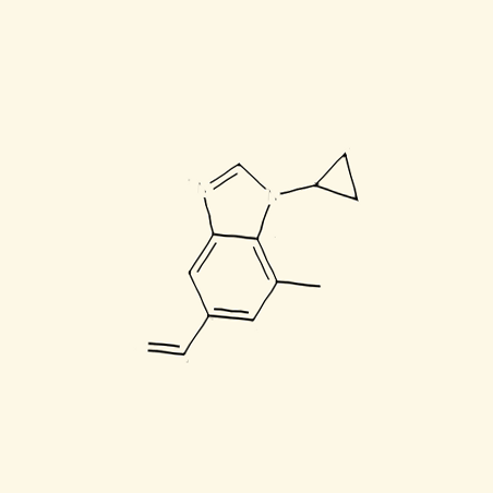 Cc1cc(C=O)cc2ncn(C3CC3)c12